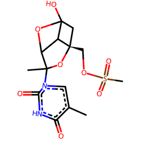 Cc1cn(C2(C)O[C@@]3(COS(C)(=O)=O)CC4(O)OC2C43)c(=O)[nH]c1=O